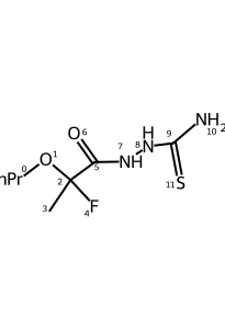 CCCOC(C)(F)C(=O)NNC(N)=S